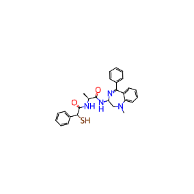 C[C@H](NC(=O)C(S)c1ccccc1)C(=O)N[C@@H]1CN(C)c2ccccc2C(c2ccccc2)=N1